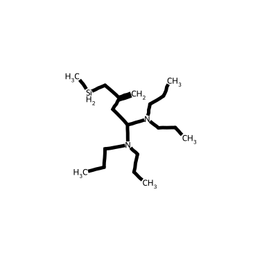 C=C(C[SiH2]C)CC(N(CCC)CCC)N(CCC)CCC